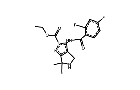 CCOC(=O)n1nc2c(c1NC(=O)c1ccc(F)cc1F)CNC2(C)C